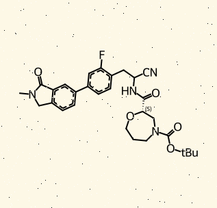 CN1Cc2ccc(-c3ccc(CC(C#N)NC(=O)[C@@H]4CN(C(=O)OC(C)(C)C)CCCO4)c(F)c3)cc2C1=O